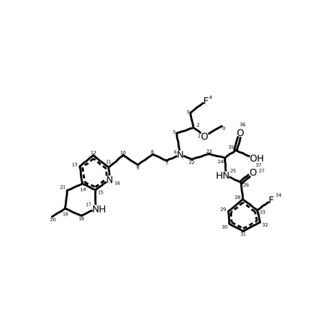 COC(CF)CN(CCCCc1ccc2c(n1)NCC(C)C2)CCC(NC(=O)c1ccccc1F)C(=O)O